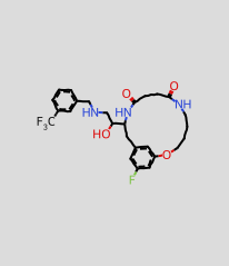 O=C1CCC(=O)NC(C(O)CNCc2cccc(C(F)(F)F)c2)Cc2cc(F)cc(c2)OCCCCN1